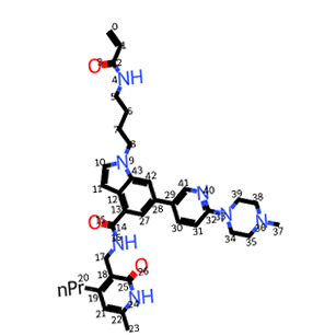 C=CC(=O)NCCCCn1ccc2c(C(=O)NCc3c(CCC)cc(C)[nH]c3=O)cc(-c3ccc(N4CCN(C)CC4)nc3)cc21